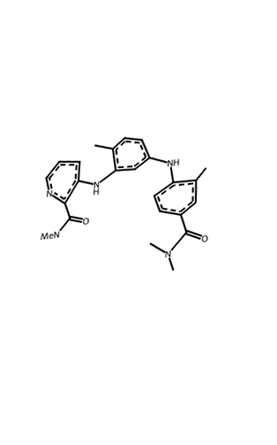 CNC(=O)c1ncccc1Nc1cc(Nc2ccc(C(=O)N(C)C)cc2C)ccc1C